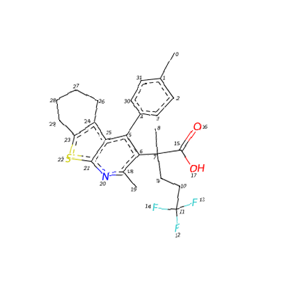 Cc1ccc(-c2c(C(C)(CCC(F)(F)F)C(=O)O)c(C)nc3sc4c(c23)CCCC4)cc1